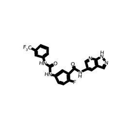 O=C(Nc1cccc(C(F)(F)F)c1)Nc1ccc(F)c(C(=O)Nc2cnc3[nH]ncc3c2)c1